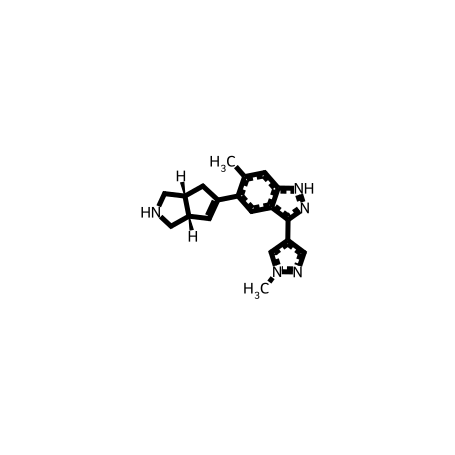 Cc1cc2[nH]nc(-c3cnn(C)c3)c2cc1C1=C[C@@H]2CNC[C@@H]2C1